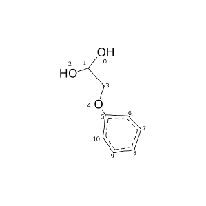 OC(O)COc1[c]cccc1